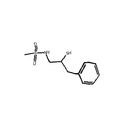 CS(=O)(=O)NCC(S)Cc1ccccc1